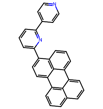 c1cc(-c2ccncc2)nc(-c2ccc3c4cccc5cccc(c6cccc2c63)c54)c1